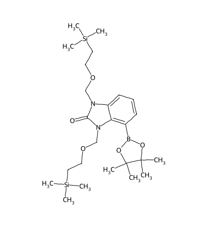 CC1(C)OB(c2cccc3c2n(COCC[Si](C)(C)C)c(=O)n3COCC[Si](C)(C)C)OC1(C)C